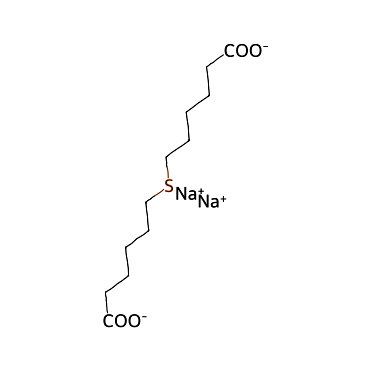 O=C([O-])CCCCCSCCCCCC(=O)[O-].[Na+].[Na+]